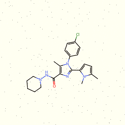 Cc1ccc(-c2nc(C(=O)NN3CCCCC3)c(C)n2-c2ccc(Cl)cc2)n1C